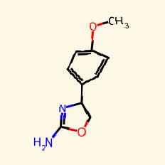 COc1ccc(C2COC(N)=N2)cc1